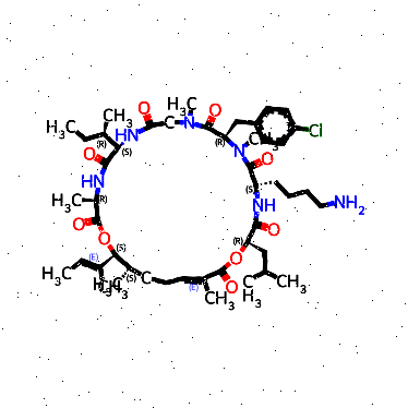 C/C=C(\C)[C@H]1OC(=O)[C@@H](C)NC(=O)[C@H]([C@H](C)CC)NC(=O)CN(C)C(=O)[C@@H](Cc2ccc(Cl)cc2)N(C)C(=O)[C@H](CCCCN)NC(=O)[C@@H](CC(C)C)OC(=O)/C(C)=C/CC[C@@H]1C